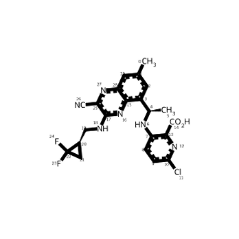 Cc1cc([C@@H](C)Nc2ccc(Cl)nc2C(=O)O)c2nc(NC[C@H]3CC3(F)F)c(C#N)nc2c1